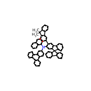 CC1(C)c2ccccc2-c2cc(-c3cc4c(cc3N(c3ccc5c6ccccc6c6ccccc6c5c3)c3cccc5ccccc35)C3(c5ccccc5-c5ccccc53)c3ccccc3-4)ccc21